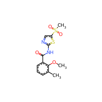 COc1c(C)cccc1C(=O)Nc1ncc(S(C)(=O)=O)s1